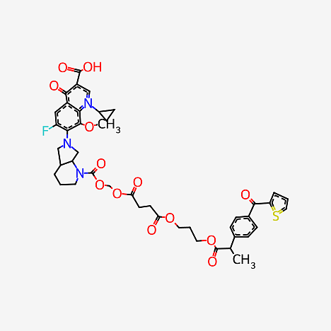 COc1c(N2CC3CCCN(C(=O)OCOC(=O)CCC(=O)OCCCOC(=O)C(C)c4ccc(C(=O)c5cccs5)cc4)C3C2)c(F)cc2c(=O)c(C(=O)O)cn(C3CC3)c12